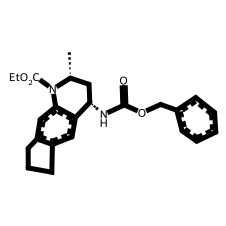 CCOC(=O)N1c2cc3c(cc2[C@@H](NC(=O)OCc2ccccc2)C[C@H]1C)CCC3